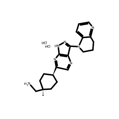 C[C@]1(CN)CC[C@@H](c2cnc3c(N4CCCc5ncccc54)n[nH]c3n2)CC1.Cl.Cl